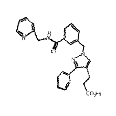 O=C(O)CCc1cn(Cc2cccc(C(=O)NCc3ccccn3)c2)nc1-c1ccccc1